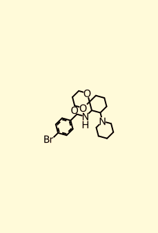 O=C(NC1C(N2CCCCC2)CCCC12OCCCO2)c1ccc(Br)cc1